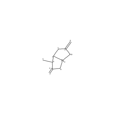 C=C1CC2C(C)C(=C)CN2C1